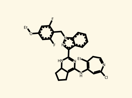 CCOc1cc(F)c(Cn2nc(C3=NC(NC4=C(CC)CC=NC(Cl)=C4)=C4CCCC4N3)c3ccccc32)c(F)c1